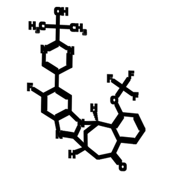 CC(C)(O)c1ncc(-c2cc3c(cc2F)nc2n3[C@@H]3C[C@@H]2CC(=O)c2cccc(OC(F)(F)F)c23)cn1